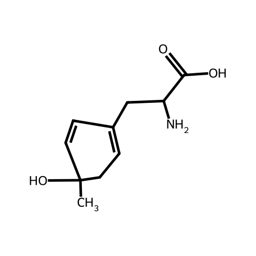 CC1(O)C=CC(CC(N)C(=O)O)=CC1